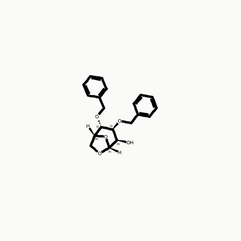 O[C@H]1[C@@H]2OC[C@@H](O2)[C@H](OCc2ccccc2)[C@H]1OCc1ccccc1